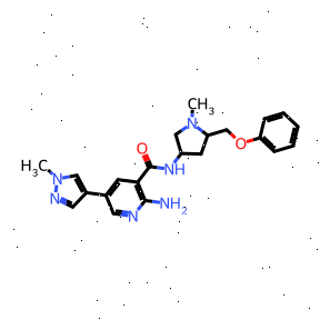 CN1CC(NC(=O)c2cc(-c3cnn(C)c3)cnc2N)CC1COc1ccccc1